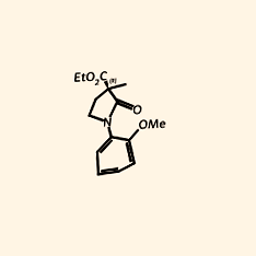 CCOC(=O)[C@]1(C)CCN(c2ccccc2OC)C1=O